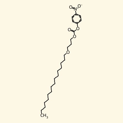 CCCCCCCCCCCCCCCCOCCCOC(=O)Oc1ccc([N+](=O)[O-])cc1